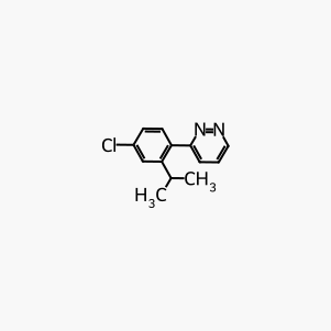 CC(C)c1cc(Cl)ccc1-c1cccnn1